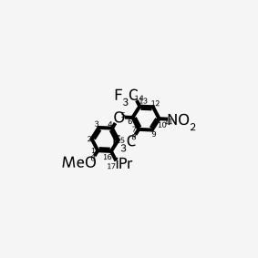 COc1ccc(Oc2c(C(F)(F)F)cc([N+](=O)[O-])cc2C(F)(F)F)cc1C(C)C